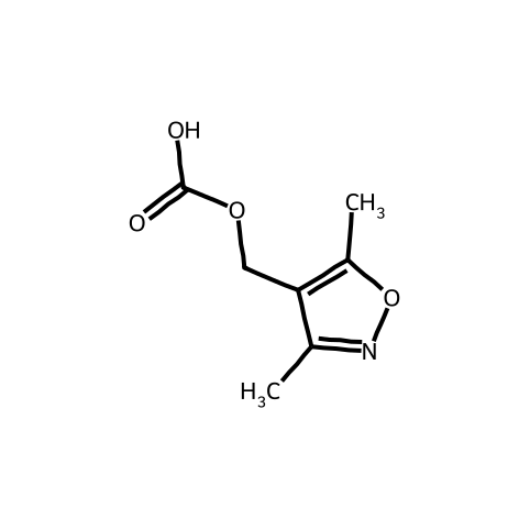 Cc1noc(C)c1COC(=O)O